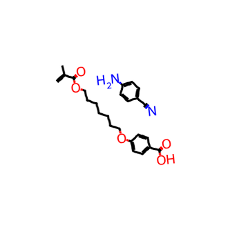 C=C(C)C(=O)OCCCCCCCOc1ccc(C(=O)O)cc1.N#Cc1ccc(N)cc1